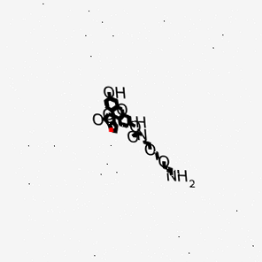 NCCOCCOCCNC(=O)Oc1ccc2c(c1)Oc1cc(O)ccc1C21OC(=O)c2ccccc21